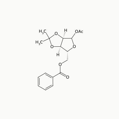 CC(=O)OC1O[C@H](COC(=O)c2ccccc2)[C@H]2OC(C)(C)O[C@@H]12